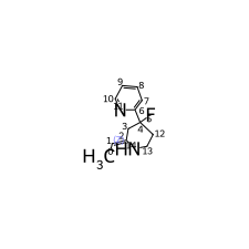 C/C=C1/CC(F)(c2ccccn2)CCN1